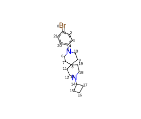 Brc1ccc(N2CCC3(CC2)CCN(C2CCC2)CC3)cc1